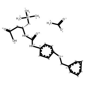 CC(=O)[O-].C[N+](C)(C)C[C@@H](CC(=O)O)NC(=O)Nc1ccc(OCc2ccccc2)cc1